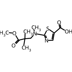 COC(=O)C(C)(C)CN(C)c1ncc(C(=O)O)s1